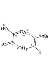 CCCCC(C(C)=O)=C(C)C.O=C(O)C(=O)O